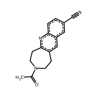 CC(=O)N1CCc2cc3cc(C#N)ccc3nc2CC1